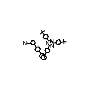 CC(C)(C)c1ccc(-c2nc(-c3ccc(C(C)(C)C)cc3)nc(-c3ccc(C45CC6CC(CC(c7ccc(-c8cccc(C#N)c8)cc7)(C6)C4)C5)cc3)n2)cc1